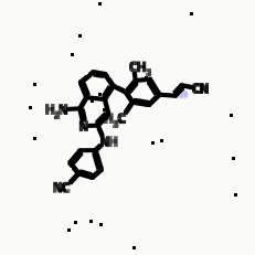 Cc1cc(/C=C/C#N)cc(C)c1-c1cccc2c(N)nc(Nc3ccc(C#N)cc3)cc12